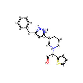 O=CC(c1cccs1)N1C=CCC(c2cc(Cc3ccccc3)n[nH]2)=C1